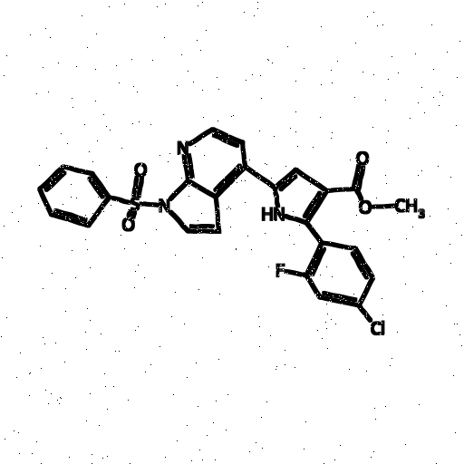 COC(=O)c1cc(-c2ccnc3c2ccn3S(=O)(=O)c2ccccc2)[nH]c1-c1ccc(Cl)cc1F